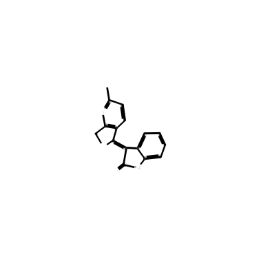 Cc1ccc2c(n1)CO/C2=C1\C(=O)Nc2ccccc21